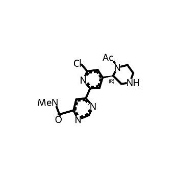 CNC(=O)c1cc(-c2cc([C@@H]3CNCCN3C(C)=O)cc(Cl)n2)ncn1